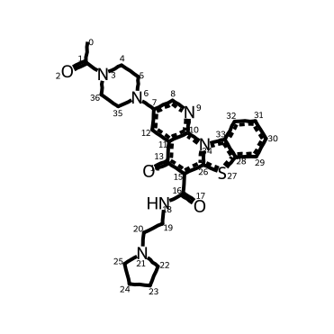 CC(=O)N1CCN(c2cnc3c(c2)c(=O)c(C(=O)NCCN2CCCC2)c2sc4ccccc4n23)CC1